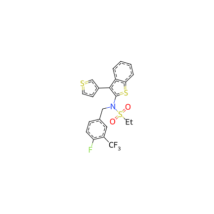 CCS(=O)(=O)N(Cc1ccc(F)c(C(F)(F)F)c1)c1sc2ccccc2c1-c1ccsc1